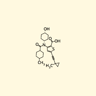 CC1CCC(C(=O)N(c2cc(C#CC3(C)CC3)sc2C(=O)O)[C@H]2CC[C@@H](O)CC2)CC1